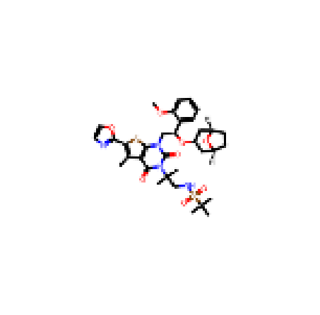 COc1ccccc1[C@H](Cn1c(=O)n(C(C)(C)CNS(=O)(=O)C(C)(C)C)c(=O)c2c(C)c(-c3ncco3)sc21)O[C@@H]1C[C@H]2CC[C@@H](C1)O2